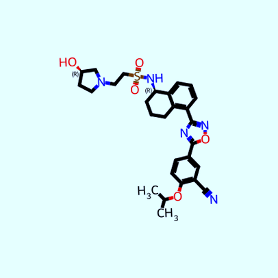 CC(C)Oc1ccc(-c2nc(-c3cccc4c3CCC[C@H]4NS(=O)(=O)CCN3CC[C@@H](O)C3)no2)cc1C#N